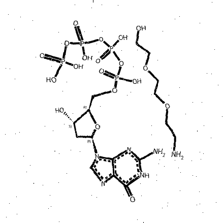 NCCOCCOCCO.Nc1nc2c(ncn2[C@H]2C[C@H](O)[C@@H](COP(=O)(O)OP(=O)(O)OP(=O)(O)OP(=O)(O)O)O2)c(=O)[nH]1